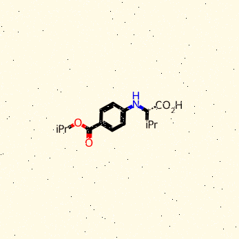 CC(C)OC(=O)c1ccc(N[C@H](C(=O)O)C(C)C)cc1